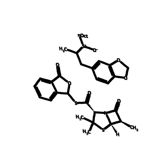 CCCCCCCC[S+]([O-])C(C)Cc1ccc2c(c1)OCO2.C[C@@H]1C(=O)N2[C@@H]1SC(C)(C)[C@@H]2C(=O)SC1OC(=O)c2ccccc21